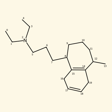 CCN(CC)CCCC1CCCC(C)C2=C1CC=CC2